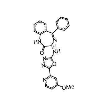 COc1ccnc(-c2nnc(N[C@H]3N=C(c4ccccc4)c4ccccc4NC3=O)o2)c1